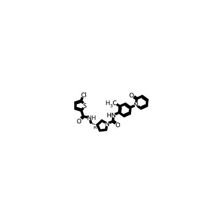 Cc1cc(-n2ccccc2=O)ccc1NC(=O)N1CC[C@H](CNC(=O)c2ccc(Cl)s2)C1